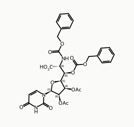 CC(=O)O[C@@H]1[C@H]([C@H](OC(=O)OCc2ccccc2)[C@@H](NC(=O)OCc2ccccc2)C(=O)O)O[C@H](n2ccc(=O)[nH]c2=O)[C@@H]1OC(C)=O